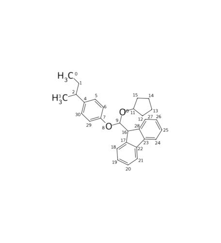 CCC(C)c1ccc(OC(OC2CCCC2)C2c3ccccc3-c3ccccc32)cc1